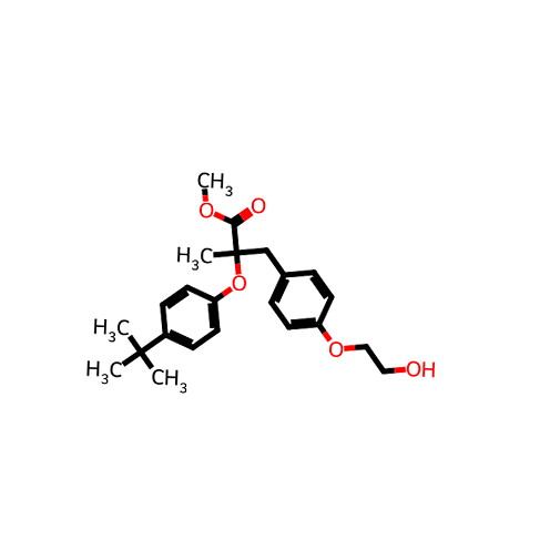 COC(=O)C(C)(Cc1ccc(OCCO)cc1)Oc1ccc(C(C)(C)C)cc1